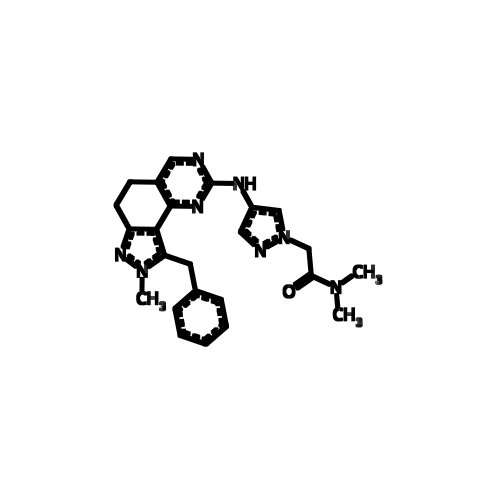 CN(C)C(=O)Cn1cc(Nc2ncc3c(n2)-c2c(nn(C)c2Cc2ccccc2)CC3)cn1